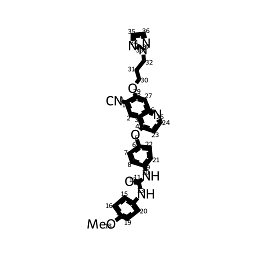 [C-]#[N+]c1cc2c(Oc3ccc(NC(=O)Nc4ccc(OC)cc4)cc3)ccnc2cc1OCCCn1nccn1